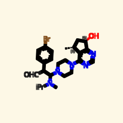 CC(C)N(C)C(C(C=O)c1ccc(Br)cc1)N1CCN(c2ncnc3c2[C@H](C)C[C@@H]3O)CC1